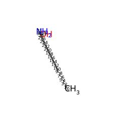 CCCCCCCCCCCCCCCCCCCCCCCCCCCCC(O)CN